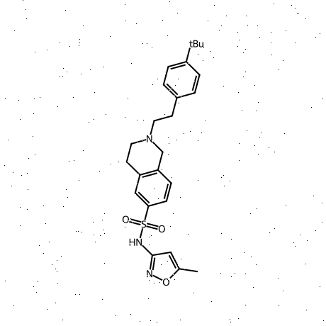 Cc1cc(NS(=O)(=O)c2ccc3c(c2)CCN(CCc2ccc(C(C)(C)C)cc2)C3)no1